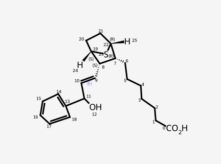 O=C(O)CCCCCC[C@@H]1[C@H](/C=C/C(O)c2ccccc2)[C@@H]2CC[C@H]1S2